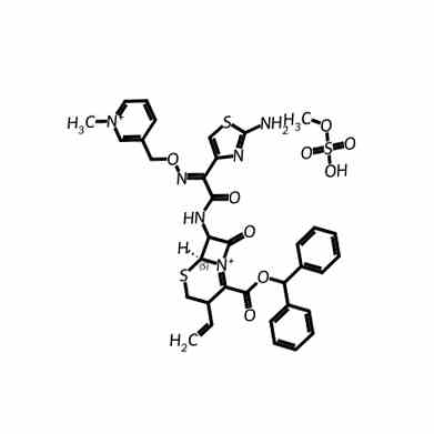 C=CC1CS[C@H]2C(NC(=O)C(=NOCc3ccc[n+](C)c3)c3csc(N)n3)C(=O)[N+]2=C1C(=O)OC(c1ccccc1)c1ccccc1.COS(=O)(=O)O